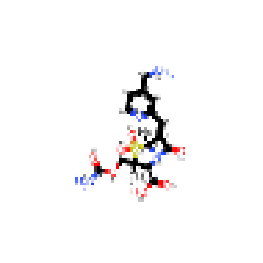 C[C@]1(COC(N)=O)[C@H](C(=O)O)N2C(=O)/C(=C/c3cc(CN)ccn3)[C@H]2S1(=O)=O